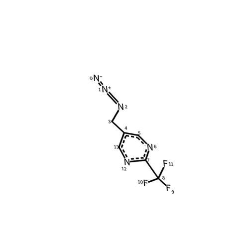 [N-]=[N+]=NCc1cnc(C(F)(F)F)nc1